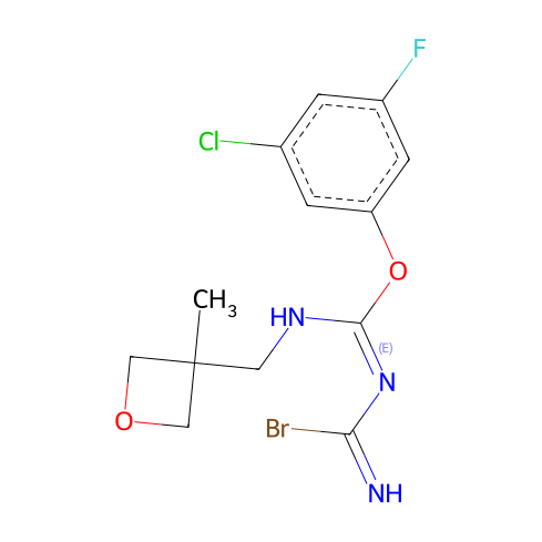 CC1(CN/C(=N\C(=N)Br)Oc2cc(F)cc(Cl)c2)COC1